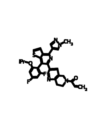 C=CC(=O)N1CCc2ncc(-c3nc(-c4cnn(C)c4)c4ccsc4c3-c3c(F)cc(F)cc3OC(C)C)cc2C1